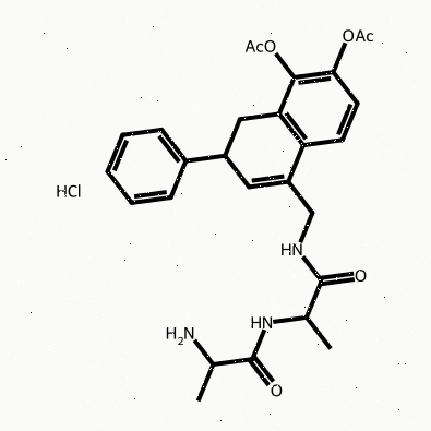 CC(=O)Oc1ccc2c(c1OC(C)=O)CC(c1ccccc1)C=C2CNC(=O)C(C)NC(=O)C(C)N.Cl